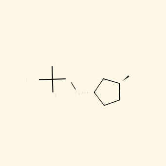 CC(C)(C)ON[C@H]1CC[C@H](O)C1